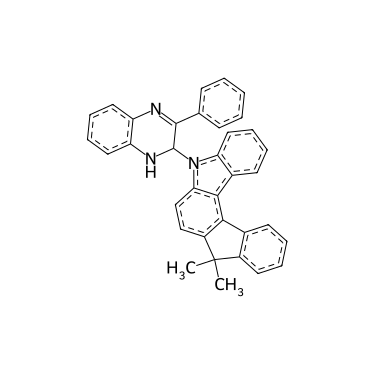 CC1(C)c2ccccc2-c2c1ccc1c2c2ccccc2n1C1Nc2ccccc2N=C1c1ccccc1